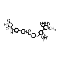 Cn1cc(-c2ccc(CC3CCN(CC(=O)N4CCC(c5ccc(NC6CCC(=O)NC6=O)cc5)CC4)CC3)c(OC(F)(F)F)c2)c2cn[nH]c2c1=O